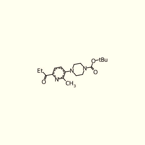 CCC(=O)c1ccc(N2CCN(C(=O)OC(C)(C)C)CC2)c(C)n1